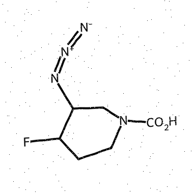 [N-]=[N+]=NC1CN(C(=O)O)CCC1F